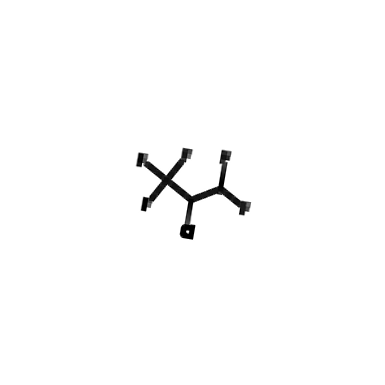 F[C](F)C(Cl)C(F)(F)F